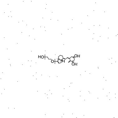 C=C1C(=CC=C2CCC[C@]3(C)C(C(C)(C)OCCCC(C)(C)O)=CC[C@@H]23)C[C@@H](O)C[C@@H]1O